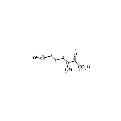 CCCCCCCCCC(O)C(=O)C(=O)O